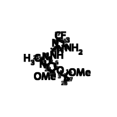 COCC1(COc2cc3c(NCc4nc(N)cc(C(F)(F)F)n4)nc(C)nc3cc2OC)CC1